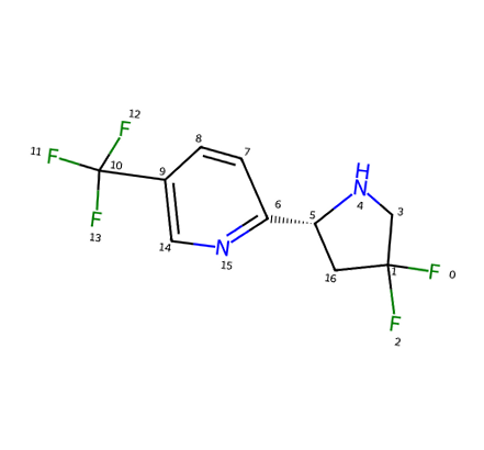 FC1(F)CN[C@@H](c2ccc(C(F)(F)F)cn2)C1